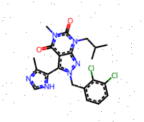 Cc1nc[nH]c1-c1c2c(=O)n(C)c(=O)n(CC(C)C)c2nn1Cc1cccc(Cl)c1Cl